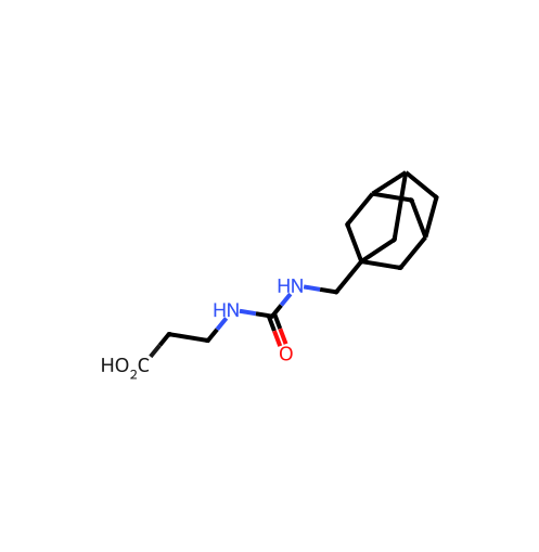 O=C(O)CCNC(=O)NCC12CC3CC(C1)C(C3)C2